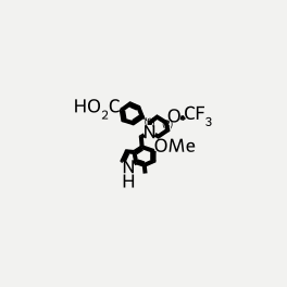 COc1cc(C)c2[nH]ccc2c1CN1CC[C@@H](OCC(F)(F)F)C[C@H]1c1ccc(C(=O)O)cc1